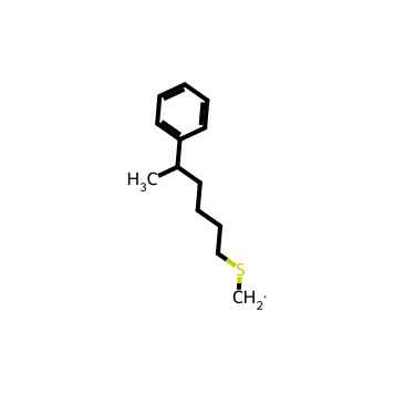 [CH2]SCCCCC(C)c1ccccc1